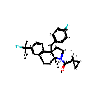 CC(F)(c1ccc2c(c1)CC[C@H]1N(C(=O)C3(C(F)(F)F)CC3)CC[C@@]21Cc1ccc(F)cc1)C(F)(F)F